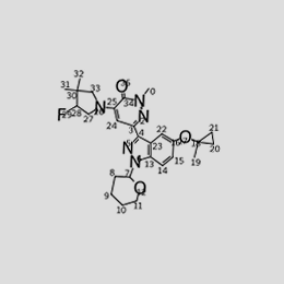 Cn1nc(-c2nn(C3CCCCO3)c3ccc(OC4(C)CC4)cc23)cc(N2CC(F)C(C)(C)C2)c1=O